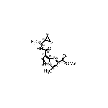 COC(=O)c1cc(C)n2ncc(C(=O)N[C@H](C3CC3)C(F)(F)F)c2n1